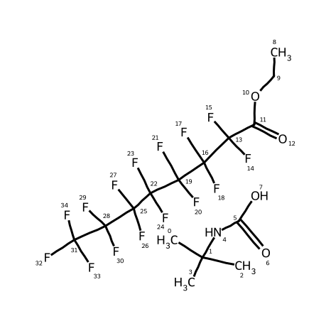 CC(C)(C)NC(=O)O.CCOC(=O)C(F)(F)C(F)(F)C(F)(F)C(F)(F)C(F)(F)C(F)(F)C(F)(F)F